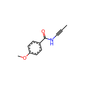 CC#CNC(=O)c1ccc(OC)cc1